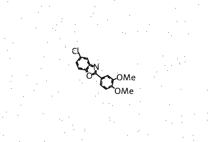 COc1ccc(-c2nc3cc(Cl)ccc3o2)cc1OC